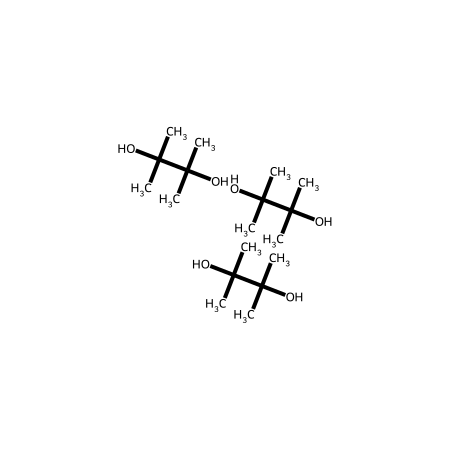 CC(C)(O)C(C)(C)O.CC(C)(O)C(C)(C)O.CC(C)(O)C(C)(C)O